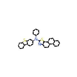 c1ccc(N(c2ccc3c(c2)sc2ccccc23)c2nc3ccc4c5ccccc5ccc4c3s2)cc1